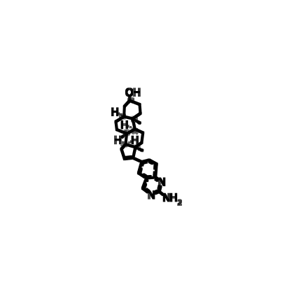 C[C@]12CC[C@H](O)C[C@@H]1CC[C@@H]1[C@@H]2CC[C@]2(C)C(c3ccc4nc(N)ncc4c3)=CC[C@@H]12